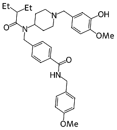 CCC(CC)C(=O)N(Cc1ccc(C(=O)NCc2ccc(OC)cc2)cc1)C1CCN(Cc2ccc(OC)c(O)c2)CC1